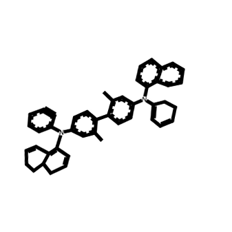 Cc1cc(N(C2=C3C=CCCC3CC=C2)c2c#cccc2)ccc1-c1ccc(N(C2=CC=CCC2)c2cccc3ccccc23)cc1C